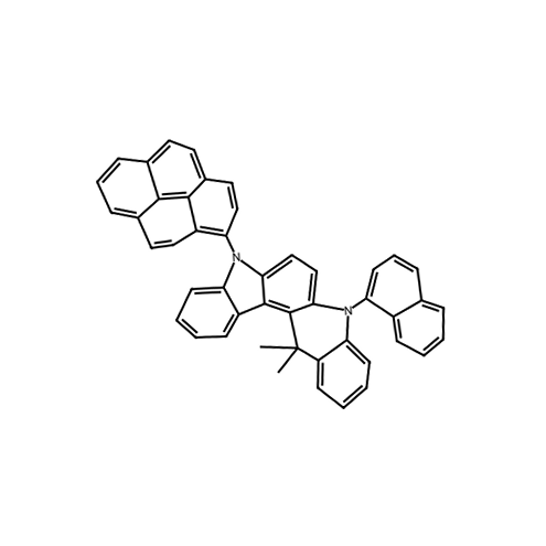 CC1(C)c2ccccc2N(c2cccc3ccccc23)c2ccc3c(c21)c1ccccc1n3-c1ccc2ccc3cccc4ccc1c2c34